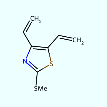 C=Cc1nc(SC)sc1C=C